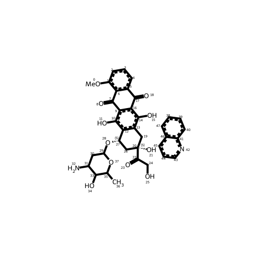 COc1cccc2c1C(=O)c1c(O)c3c(c(O)c1C2=O)C[C@@](O)(C(=O)CO)C[C@@H]3OC1CC(N)C(O)C(C)O1.c1ccc2ncccc2c1